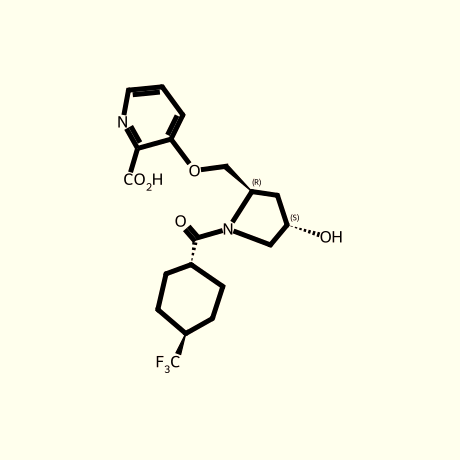 O=C(O)c1ncccc1OC[C@H]1C[C@H](O)CN1C(=O)[C@H]1CC[C@H](C(F)(F)F)CC1